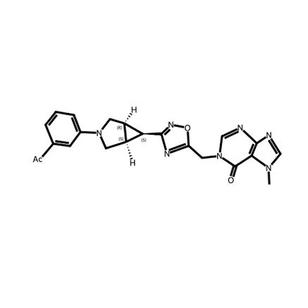 CC(=O)c1cccc(N2C[C@@H]3[C@H](C2)[C@@H]3c2noc(Cn3cnc4ncn(C)c4c3=O)n2)c1